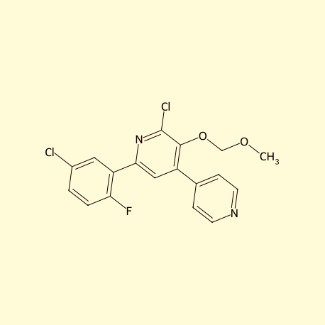 COCOc1c(-c2ccncc2)cc(-c2cc(Cl)ccc2F)nc1Cl